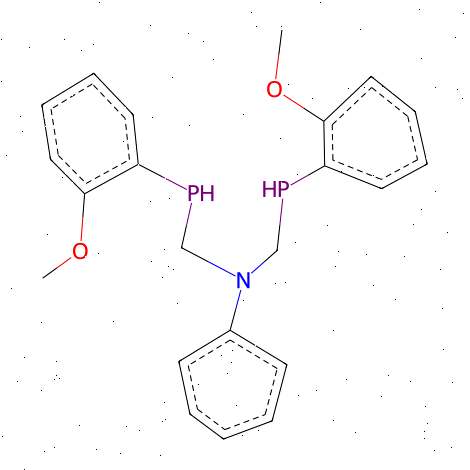 COc1ccccc1PCN(CPc1ccccc1OC)c1ccccc1